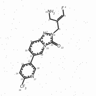 NC/C(=C\F)Cn1nc2ccc(-c3ccc(C(F)(F)F)nc3)cn2c1=O